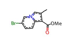 COC(=O)c1c(C)cn2cc(Br)ccc12